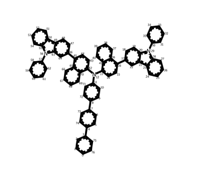 c1ccc(-c2ccc(-c3ccc(N(c4ccc(-c5ccc6c(c5)c5ccccc5n6-c5ccccc5)c5ccccc45)c4ccc(-c5ccc6c7ccccc7n(-c7ccccc7)c6c5)c5ccccc45)cc3)cc2)cc1